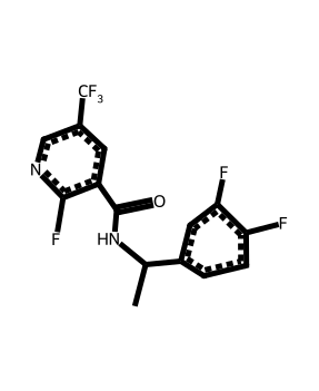 CC(NC(=O)c1cc(C(F)(F)F)cnc1F)c1ccc(F)c(F)c1